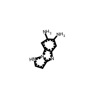 Nc1cc2nc3cc[nH]n3c2cc1N